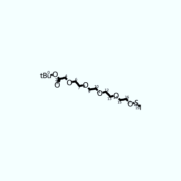 CC(C)(C)OC(=O)COCCOCCOCCOCCOSI